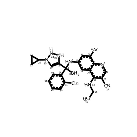 BC(Nc1cc(C(C)=O)c2ncc(C#N)c(NCC(C)(C)C)c2c1)(C1=CN(C2CC2)NN1)c1ccccc1Cl